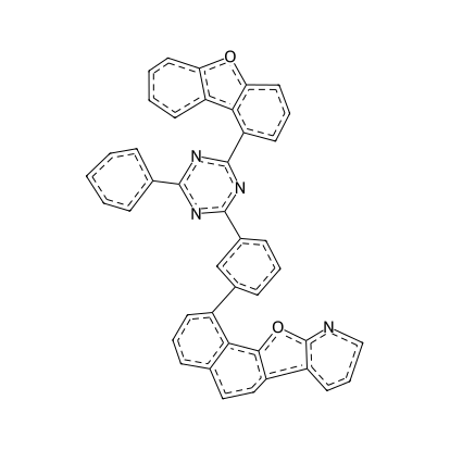 c1ccc(-c2nc(-c3cccc(-c4cccc5ccc6c7cccnc7oc6c45)c3)nc(-c3cccc4oc5ccccc5c34)n2)cc1